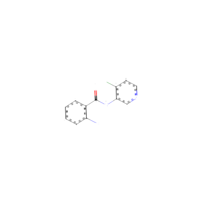 Cl.Nc1ccccc1C(=O)Nc1cnccc1Cl